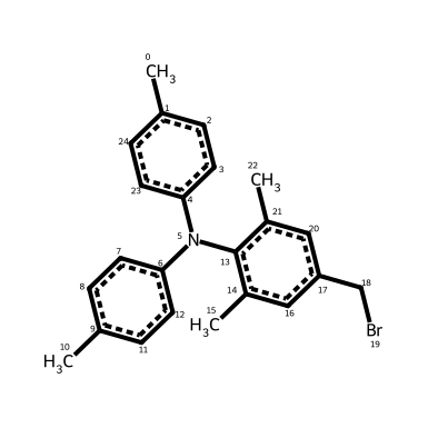 Cc1ccc(N(c2ccc(C)cc2)c2c(C)cc(CBr)cc2C)cc1